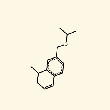 CC(C)OCc1ccc2c(c1)C(C)CC=C2